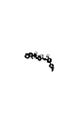 O=C(Nc1ccc(C#Cc2cc(-c3ccc(F)cc3)ccc2C(=O)O)cc1)c1ccc2ccccc2n1